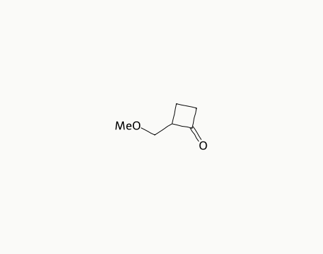 COCC1CCC1=O